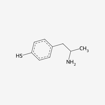 CC(N)Cc1ccc(S)cc1